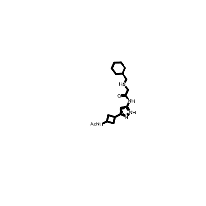 CC(=O)NC1CC(c2cc(NC(=O)CNCC3CCCCC3)[nH]n2)C1